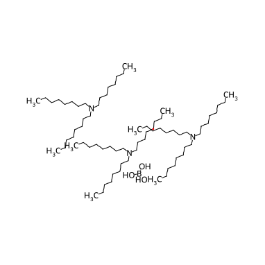 CCCCCCCCN(CCCCCCCC)CCCCCCCC.CCCCCCCCN(CCCCCCCC)CCCCCCCC.CCCCCCCCN(CCCCCCCC)CCCCCCCC.OB(O)O